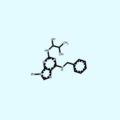 CCCC(Nc1nc(NCc2ccccc2)c2ncn(C(C)C)c2n1)C(C)O